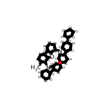 Cc1ccc2c(oc3c(-n4c5ccccc5c5ccc(-c6ccccc6)cc54)cccc32)c1-n1c2ccccc2c2ccccc21